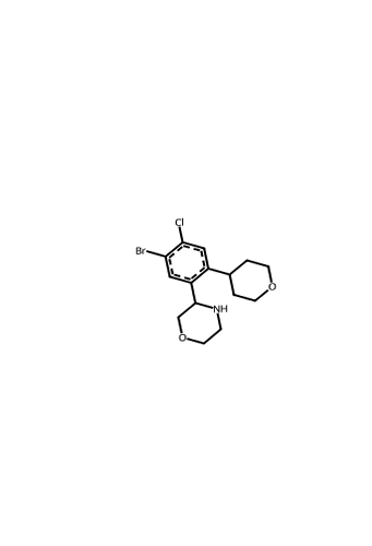 Clc1cc(C2CCOCC2)c(C2COCCN2)cc1Br